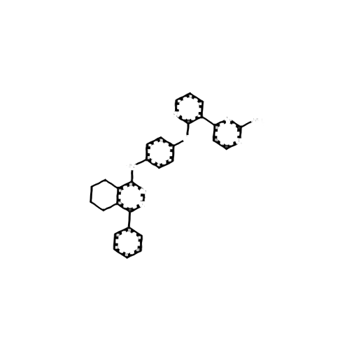 Nc1nccc(-c2cccnc2Oc2ccc(Nc3nnc(-c4ccccc4)c4c3CCCC4)cc2)n1